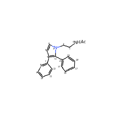 CC(=O)NCCn1ccc(-c2ccccc2)c1-c1ccccc1